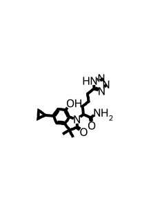 CC1(C)C(=O)N(C(CCCc2nnn[nH]2)C(N)=O)c2c(O)cc(C3CC3)cc21